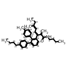 C=C(C(=O)NCCCC)/C(=C\C=C(/C)CC)c1cccc(-c2ccc(CCCC)cc2)c1-c1ccc(C)cc1